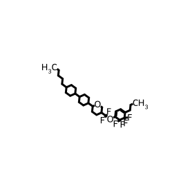 CCCCCC1CCC(C2CCC(C3CCC(C(F)(F)OC4=CC=C(CCC)C(F)(F)C4(F)F)CO3)CC2)CC1